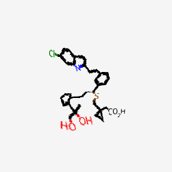 CC(O)(CO)c1ccccc1CC[C@@H](SCC1(CC(=O)O)CC1)c1cccc(/C=C/c2ccc3ccc(Cl)cc3n2)c1